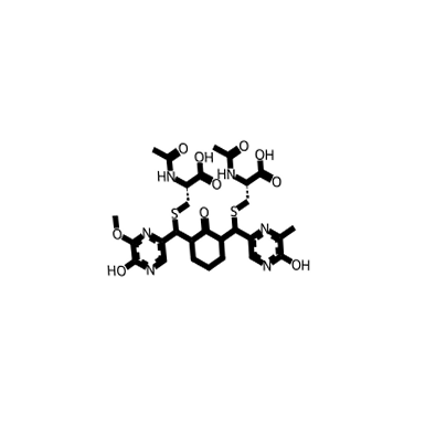 COc1nc(C(SC[C@H](NC(C)=O)C(=O)O)C2CCCC(C(SC[C@H](NC(C)=O)C(=O)O)c3cnc(O)c(C)n3)C2=O)cnc1O